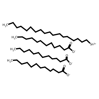 CCCCCCCCCCCC(=O)[O-].CCCCCCCCCCCC(=O)[O-].CCCCCCCCCCCC(=O)[O-].CCCCCCCCCCCCCCCCC[CH2][Sn+3]